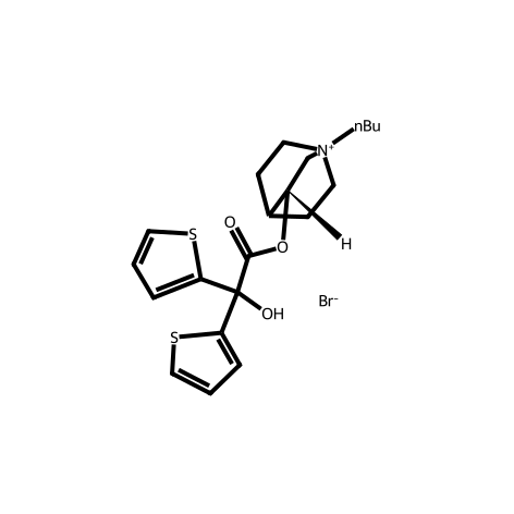 CCCC[N+]12CCC(CC1)[C@@H](OC(=O)C(O)(c1cccs1)c1cccs1)C2.[Br-]